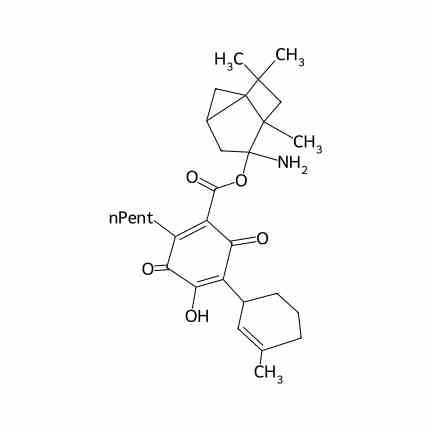 CCCCCC1=C(C(=O)OC2(N)CC3CC34C(C)(C)CC24C)C(=O)C(C2C=C(C)CCC2)=C(O)C1=O